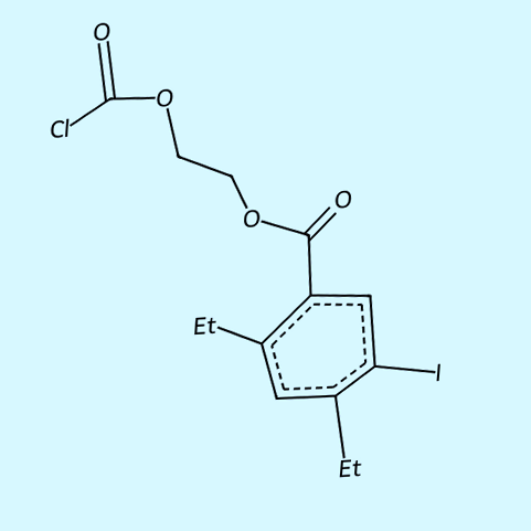 CCc1cc(CC)c(C(=O)OCCOC(=O)Cl)cc1I